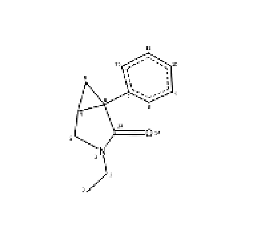 CCN1CC2CC2(c2ccccc2)C1=O